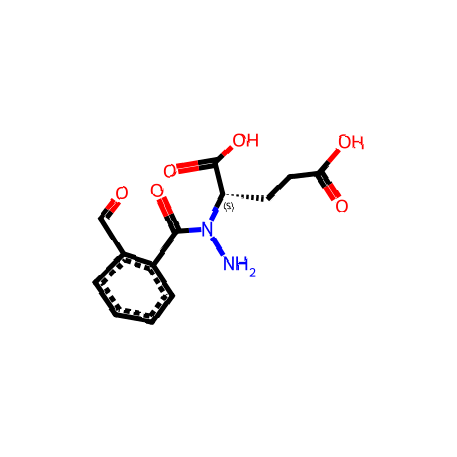 NN(C(=O)c1ccccc1C=O)[C@@H](CCC(=O)O)C(=O)O